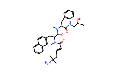 C[C@H](O)CNC(=O)[C@@H](Cc1ccccc1)N(C)C(=O)C(Cc1ccc2ccccc2c1)N(C)C(=O)/C=C/CC(C)(C)N